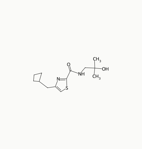 CC(C)(O)CNC(=O)c1nc(CC2CCC2)cs1